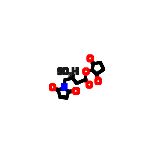 O=C(CC(CN1C(=O)C=CC1=O)S(=O)(=O)O)OC1C(=O)CCC1=O